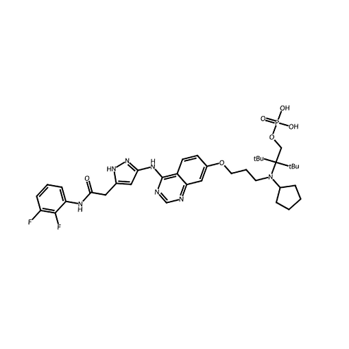 CC(C)(C)C(COP(=O)(O)O)(N(CCCOc1ccc2c(Nc3cc(CC(=O)Nc4cccc(F)c4F)[nH]n3)ncnc2c1)C1CCCC1)C(C)(C)C